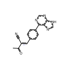 CC(=O)/C(C#N)=C/c1ccc(-c2ncnc3[nH]cnc23)cc1